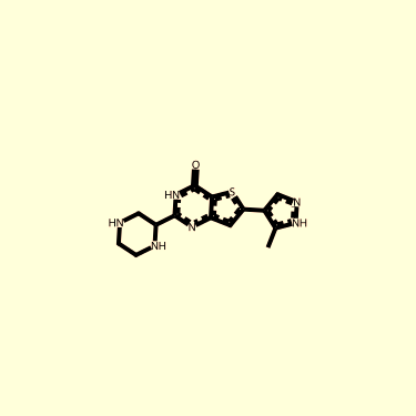 Cc1[nH]ncc1-c1cc2nc(C3CNCCN3)[nH]c(=O)c2s1